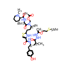 C=C(NNC(=O)[C@@H](C)C[C@H](Cc1ccc(O)cc1)NC(=O)C1=CSC(CC[C@H](C(C)C)N(COC(=O)CCC)C(=O)[C@@H](NC(=O)[C@H]2CCCCN2C)C(C)CC)N1)OCCSSC